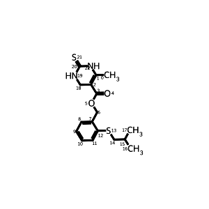 CC1=C(C(=O)OCc2ccccc2SCC(C)C)CNC(=S)N1